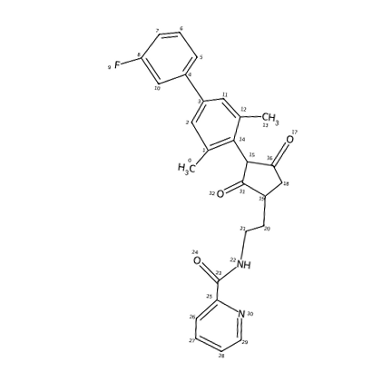 Cc1cc(-c2cccc(F)c2)cc(C)c1C1C(=O)CC(CCNC(=O)c2ccccn2)C1=O